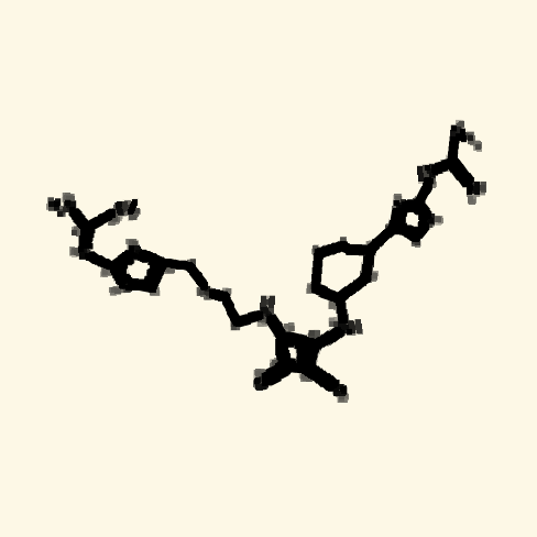 N=C(N)Nc1nc(C2CCCC(Nc3c(NCCSCc4csc(N=C(N)N)n4)c(=O)c3=O)C2)cs1